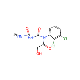 CC(C)NC(=O)NC(=O)N(C(=O)CO)c1cccc(Cl)c1Cl